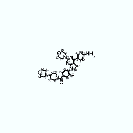 Nc1ncc(-c2nc(N3CCOCC3)nc3c2CCN3c2ccc(C(=O)N3CCC(N4CCOCC4)CC3)cc2F)cn1